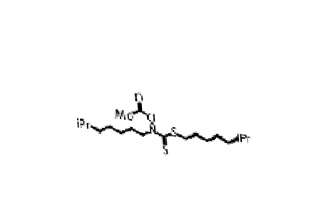 CC(C)CCCCCSC(=S)N(CCCCCC(C)C)O[C](=O)[Mo]